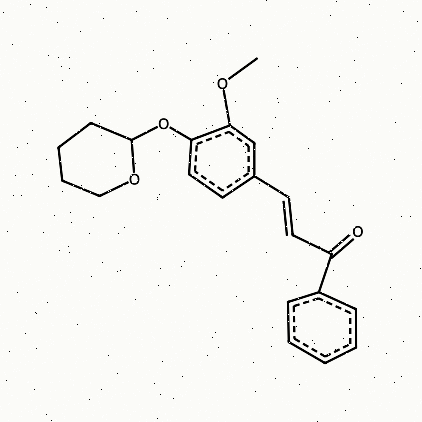 COc1cc(C=CC(=O)c2ccccc2)ccc1OC1CCCCO1